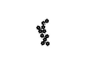 c1ccc(-c2cccc(-c3cccc(-n4c5ccccc5c5ccc6c(c7ccccc7n6-c6cccc(-n7c8ccccc8c8cc9c(cc87)c7ccccc7n9-c7ccccc7)c6)c54)c3)n2)cc1